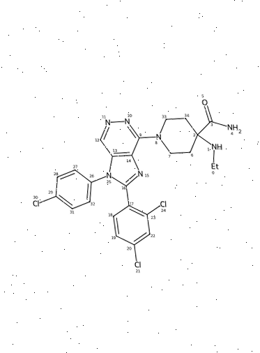 CCNC1(C(N)=O)CCN(c2nncc3c2nc(-c2ccc(Cl)cc2Cl)n3-c2ccc(Cl)cc2)CC1